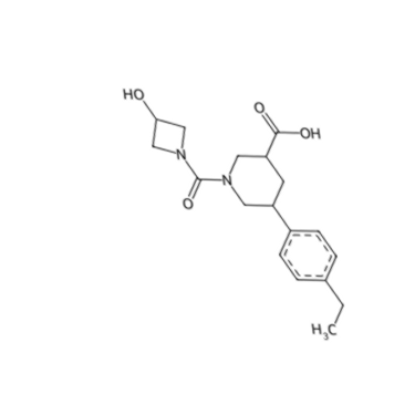 CCc1ccc(C2CC(C(=O)O)CN(C(=O)N3CC(O)C3)C2)cc1